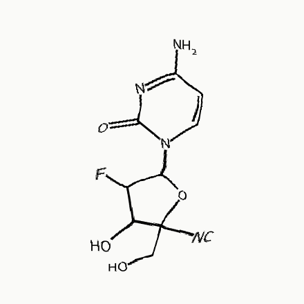 [C-]#[N+]C1(CO)OC(n2ccc(N)nc2=O)C(F)C1O